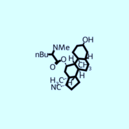 CCCCC(NC)C(=O)O[C@H]1C[C@]2(C)[C@@H](C#N)CC[C@H]2[C@@H]2CC[C@H]3C[C@H](O)CC[C@]3(C)[C@H]21